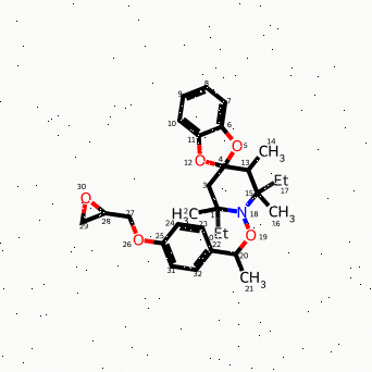 CCC1(C)CC2(Oc3ccccc3O2)C(C)C(C)(CC)N1OC(C)c1ccc(OCC2CO2)cc1